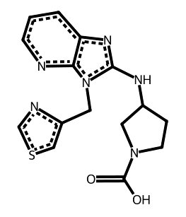 O=C(O)N1CCC(Nc2nc3cccnc3n2Cc2cscn2)C1